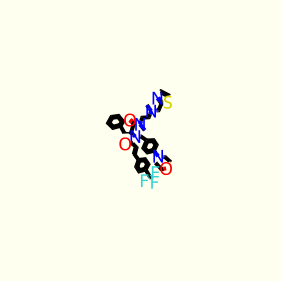 CN(CCN(C)C(=O)[C@H](Cc1ccccc1)N(Cc1ccc(N2CCOCC2)cc1)C(=O)C=Cc1ccc(C(F)(F)F)cc1)Cc1nccs1